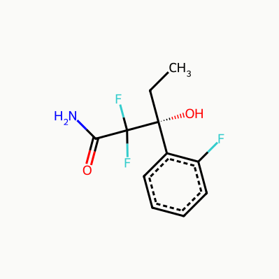 CC[C@@](O)(c1ccccc1F)C(F)(F)C(N)=O